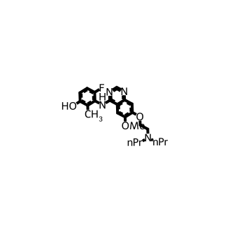 CCCN(CCC)CCOc1cc2ncnc(Nc3c(F)ccc(O)c3C)c2cc1OC